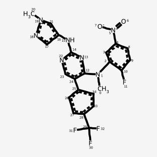 CN(c1cc([N+](=O)[O-])ccc1F)c1nc(Nc2cnn(C)c2)ncc1-c1ccc(C(F)(F)F)cc1